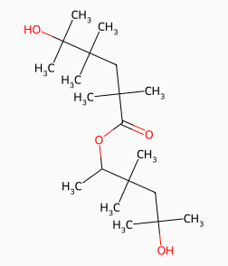 CC(OC(=O)C(C)(C)CC(C)(C)C(C)(C)O)C(C)(C)CC(C)(C)O